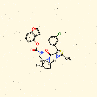 Cc1nc(C(=O)N2[C@@H]3CC[C@@H](C3)[C@H]2CNC(=O)Oc2cccc3occc23)c(-c2cccc(Cl)c2)s1